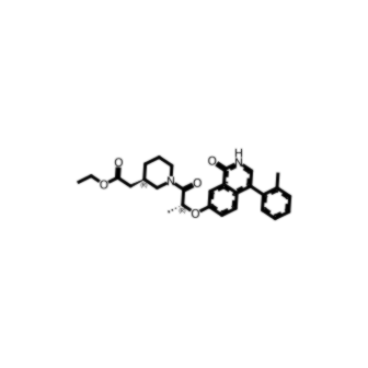 CCOC(=O)C[C@H]1CCCN(C(=O)[C@@H](C)Oc2ccc3c(-c4ccccc4C)c[nH]c(=O)c3c2)C1